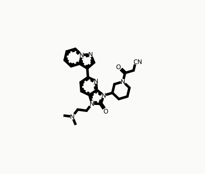 CN(C)CCn1c(=O)n(C2CCCN(C(=O)CC#N)C2)c2nc(-c3cnn4ccccc34)ccc21